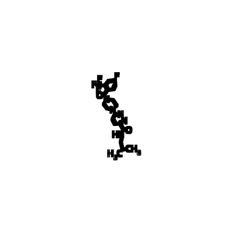 CC(C)CCNC(=O)c1ccc(N2CCN(C(=O)c3ccc(F)cc3C(F)(F)F)CC2)nn1